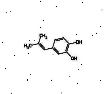 CC(C)=Cc1ccc(O)c(O)c1